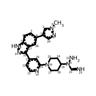 Cn1cc(-c2ccc3[nH]nc(-c4ccnc(N5CCC(N(N)C=N)CC5)c4)c3c2)cn1